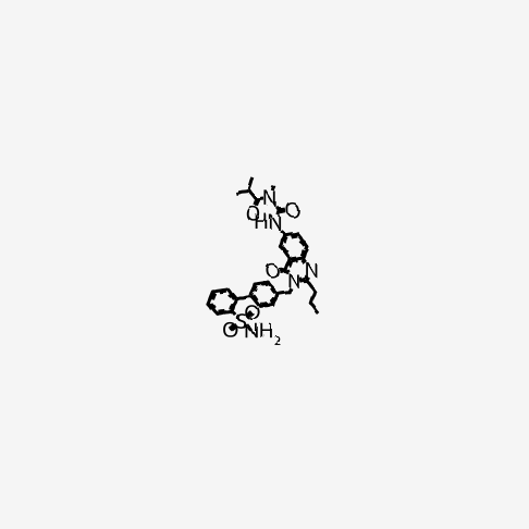 CCCc1nc2ccc(NC(=O)N(C)C(=O)C(C)C)cc2c(=O)n1Cc1ccc(-c2ccccc2S(N)(=O)=O)cc1